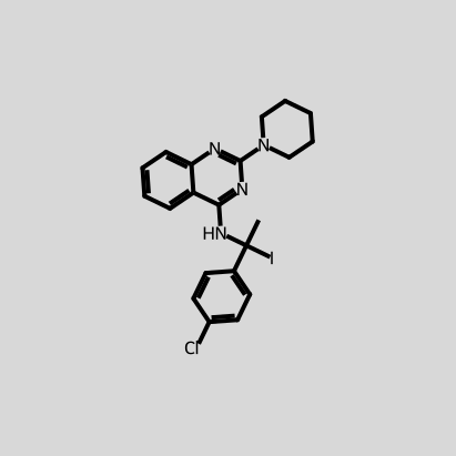 CC(I)(Nc1nc(N2CCCCC2)nc2ccccc12)c1ccc(Cl)cc1